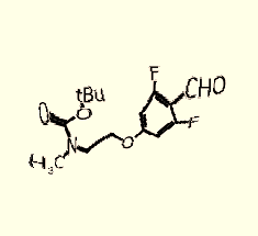 CN(CCOc1cc(F)c(C=O)c(F)c1)C(=O)OC(C)(C)C